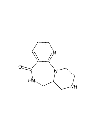 O=C1NCC2CNCCN2c2ncccc21